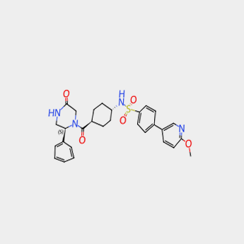 COc1ccc(-c2ccc(S(=O)(=O)N[C@H]3CC[C@H](C(=O)N4CC(=O)NC[C@@H]4c4ccccc4)CC3)cc2)cn1